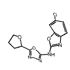 Clc1ccc2nc(Nc3nnc(C4CCCO4)o3)oc2c1